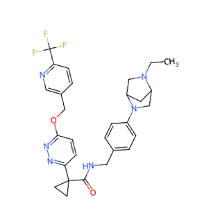 CCN1CC2CC1CN2c1ccc(CNC(=O)C2(c3ccc(OCc4ccc(C(F)(F)F)nc4)nn3)CC2)cc1